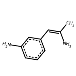 CC(N)=Cc1cccc(N)c1